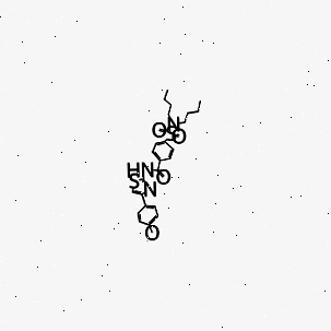 CCCCN(CCCC)S(=O)(=O)c1ccc(C(=O)Nc2nc(-c3ccc(OC)cc3)cs2)cc1